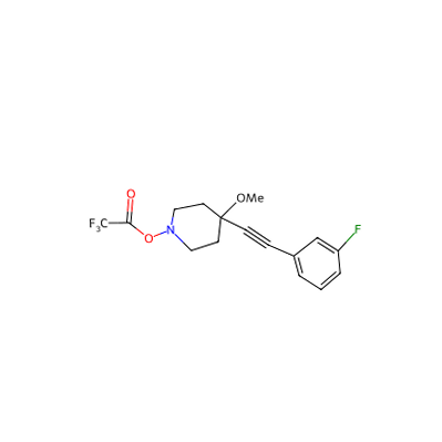 COC1(C#Cc2cccc(F)c2)CCN(OC(=O)C(F)(F)F)CC1